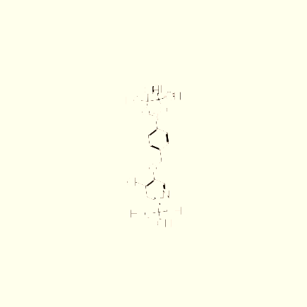 CC(C)(C)N1CC(Cl)=C(OCc2ccc(B3OC(C)(C)C(C)(C)O3)cc2)C=N1